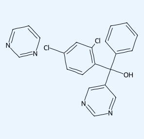 OC(c1ccccc1)(c1cncnc1)c1ccc(Cl)cc1Cl.c1cncnc1